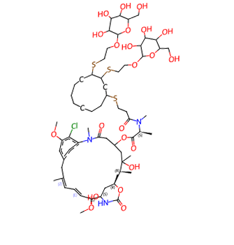 COc1cc2cc(c1Cl)N(C)C(=O)CC(OC(=O)[C@H](C)N(C)C(=O)CCSC1CCCCCCCC(SCCOC3OC(CO)C(O)C(O)C3O)C(SCCOC3OC(CO)C(O)C(O)C3O)C1)CC(C)(O)[C@@H](C)[C@@]1(C)C[C@@](O)(NC(=O)O1)[C@@H](OC)/C=C/C=C(/C)C2